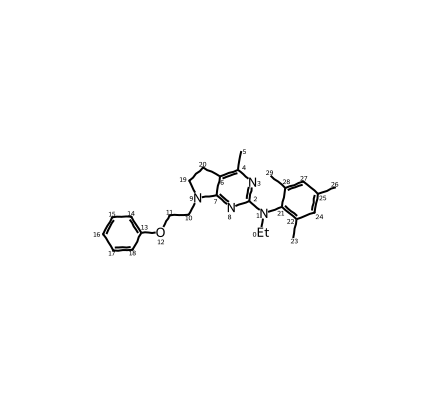 CCN(c1nc(C)c2c(n1)N(CCOc1ccccc1)CC2)c1c(C)cc(C)cc1C